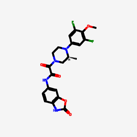 COc1c(F)cc(N2CCN(C(=O)C(=O)Nc3ccc4[nH]c(=O)oc4c3)C[C@H]2C)cc1F